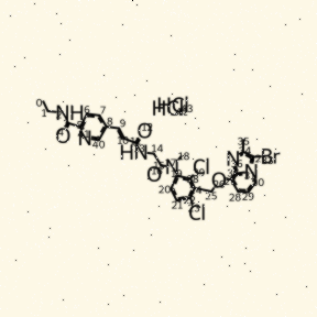 CCNC(=O)c1ccc(/C=C/C(=O)NCC(=O)N(C)c2ccc(Cl)c(COc3cccn4c(Br)c(C)nc34)c2Cl)cn1.Cl.Cl